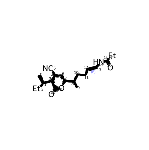 C=C(CC)c1c(C#N)cc(C(C)CC/C=C/NC(=O)CC)oc1=O